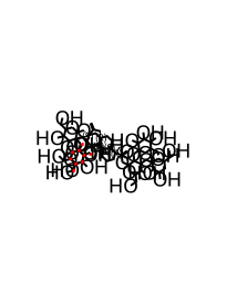 C=C1C[C@@]23CC[C@H]4[C@@](C)(CCC[C@@]4(C)C(=O)OC4OC(CO)C(O)C(OC5OC(CO)CC(O)C5O)C4OC4OC(CO)C(O)C(O)C4O)[C@@H]2CC[C@]1(OC1OC(CO)C(O)C(OC2OC(CO)CC(O)C2O)C1OC1OC(CO)C(O)C(O)C1O)C3